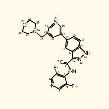 O=C(Nc1c(F)cncc1F)c1n[nH]c2ccc(-c3cncc(CN4CCOCC4)c3)cc12